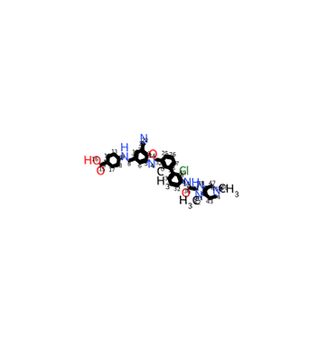 Cc1c(-c2nc3cc(CNC4CCC(C(=O)O)CC4)cc(C#N)c3o2)cccc1-c1cccc(NC(=O)c2nc3c(n2C)CCN(C)C3)c1Cl